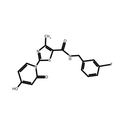 Cc1nc(-n2ccc(O)cc2=O)sc1C(=O)NCc1cccc(F)c1